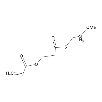 C=CC(=O)OCCC(=O)SC[SiH2]OC